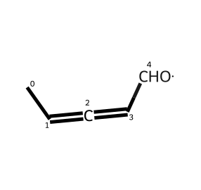 CC=C=C[C]=O